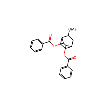 COC1CC2CCC1C(OC(=O)c1ccccc1)C2OC(=O)c1ccccc1